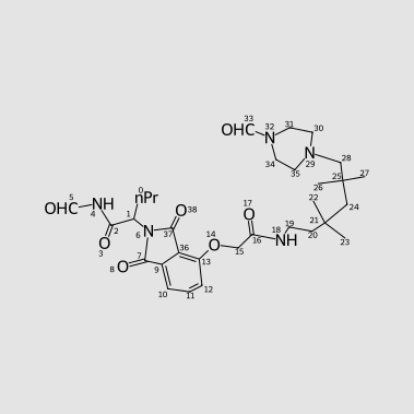 CCCC(C(=O)NC=O)N1C(=O)c2cccc(OCC(=O)NCCC(C)(C)CC(C)(C)CN3CCN(C=O)CC3)c2C1=O